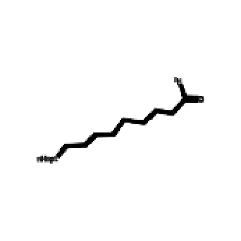 [3H]C(=O)CCCCCCCCCCCCCCC